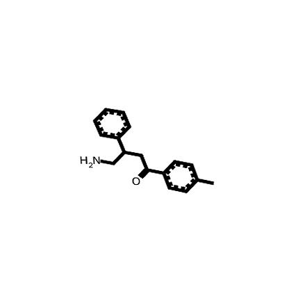 Cc1ccc(C(=O)CC(CN)c2ccccc2)cc1